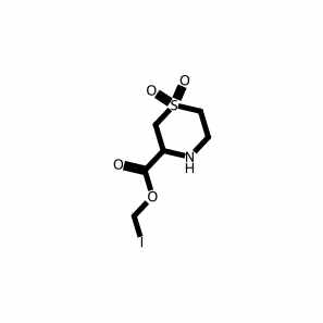 O=C(OCI)C1CS(=O)(=O)CCN1